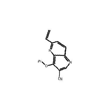 C=Cc1ccc2ncc(C#N)c(OC(C)C)c2n1